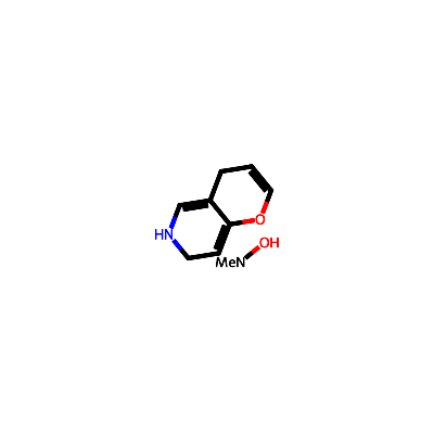 C1=COC2=CCNC=C2C1.CNO